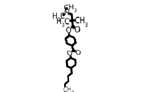 CCCCCC1CCC(OC(=O)C2CCC(OC(=O)C(C)(C)CN(C)C)CC2)CC1